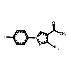 CC(=O)c1cn(-c2ccc(F)cc2)nc1N